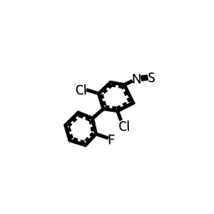 Fc1ccccc1-c1c(Cl)cc(N=S)cc1Cl